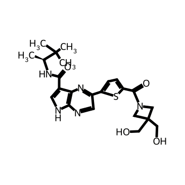 C[C@H](NC(=O)c1c[nH]c2ncc(-c3ccc(C(=O)N4CC(CO)(CO)C4)s3)nc12)C(C)(C)C